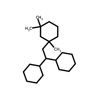 CC1(C)CCCC(C)(CC(C2CCCCC2)C2CCCCC2)C1